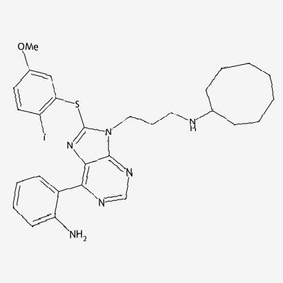 COc1ccc(I)c(Sc2nc3c(-c4ccccc4N)ncnc3n2CCCNC2CCCCCCC2)c1